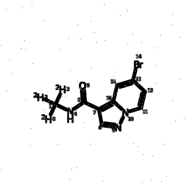 [2H]C([2H])([2H])NC(=O)c1cnn2ccc(Br)cc12